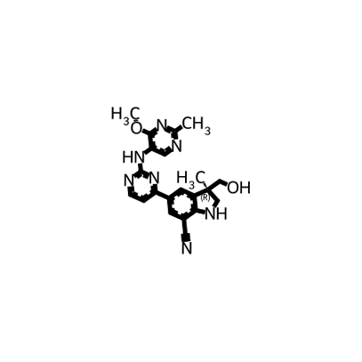 COc1nc(C)ncc1Nc1nccc(-c2cc(C#N)c3c(c2)[C@@](C)(CO)CN3)n1